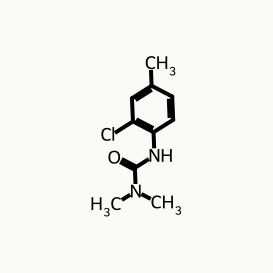 Cc1ccc(NC(=O)N(C)C)c(Cl)c1